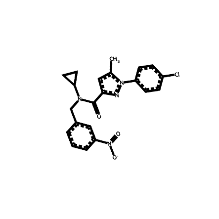 Cc1cc(C(=O)N(Cc2cccc([N+](=O)[O-])c2)C2CC2)nn1-c1ccc(Cl)cc1